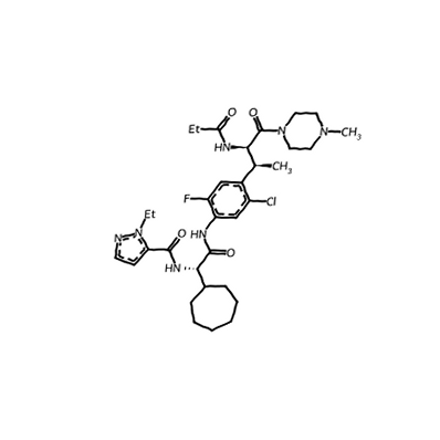 CCC(=O)N[C@@H](C(=O)N1CCN(C)CC1)[C@@H](C)c1cc(F)c(NC(=O)[C@@H](NC(=O)c2ccnn2CC)C2CCCCCC2)cc1Cl